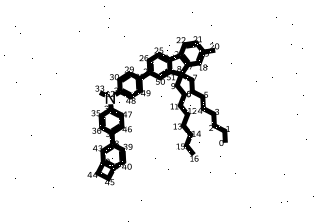 CCCCCCCCC1(CCCCCCCC)c2cc(C)ccc2-c2ccc(-c3ccc(N(C)c4ccc(-c5ccc6c(c5)CC6)cc4)cc3)cc21